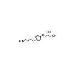 NCCCCc1ccc(OC[C@H](O)CO)cc1